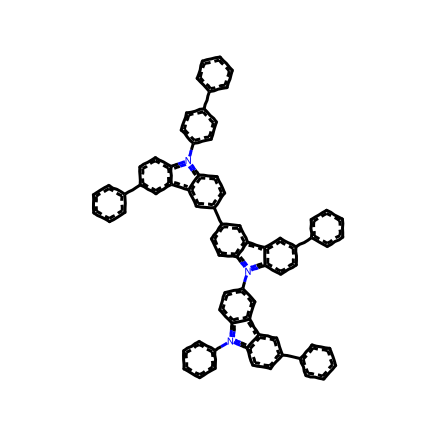 c1ccc(-c2ccc(-n3c4ccc(-c5ccccc5)cc4c4cc(-c5ccc6c(c5)c5cc(-c7ccccc7)ccc5n6-c5ccc6c(c5)c5cc(-c7ccccc7)ccc5n6-c5ccccc5)ccc43)cc2)cc1